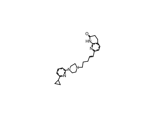 O=C1CCc2ccc(C=CCCCN3CCN(c4cccc(C5CC5)n4)CC3)nc2N1